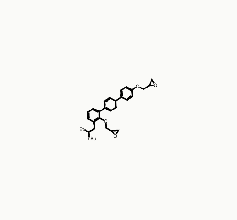 CCCCC(CC)Cc1cccc(C2=CCC(c3ccc(OCC4CO4)cc3)C=C2)c1OCC1CO1